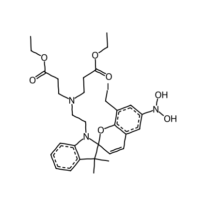 CCOC(=O)CCN(CCC(=O)OCC)CCN1c2ccccc2C(C)(C)C12C=Cc1cc(N(O)O)cc(CI)c1O2